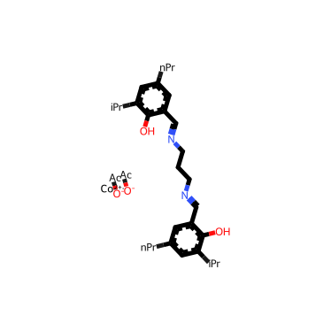 CC(=O)[O-].CC(=O)[O-].CCCc1cc(C=NCCCN=Cc2cc(CCC)cc(C(C)C)c2O)c(O)c(C(C)C)c1.[Co+2]